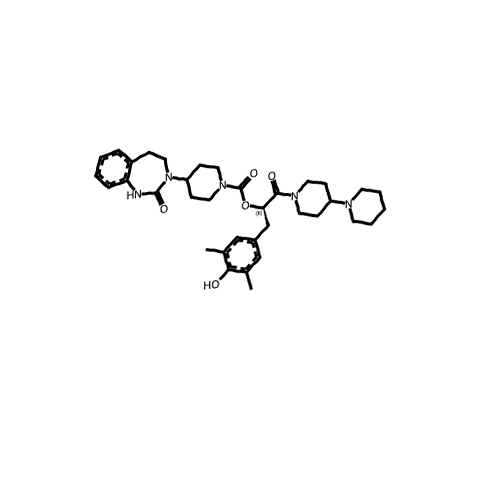 Cc1cc(C[C@@H](OC(=O)N2CCC(N3CCc4ccccc4NC3=O)CC2)C(=O)N2CCC(N3CCCCC3)CC2)cc(C)c1O